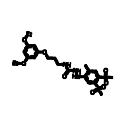 CCOc1cc(OCC)cc(OCCCNC(=O)NNc2cc(S(C)(=O)=O)c(S(C)(=O)=O)cc2C)c1